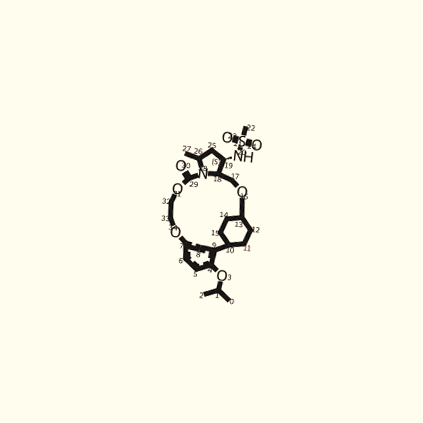 CC(C)Oc1ccc2cc1C1CCC(CC1)OCC1[C@@H](NS(C)(=O)=O)CC(C)N1C(=O)OCCO2